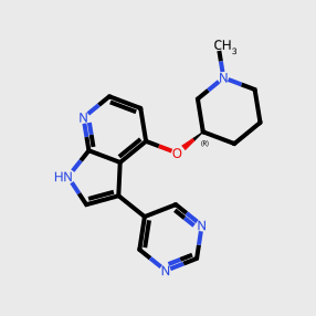 CN1CCC[C@@H](Oc2ccnc3[nH]cc(-c4cncnc4)c23)C1